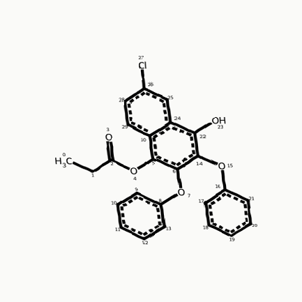 CCC(=O)Oc1c(Oc2ccccc2)c(Oc2ccccc2)c(O)c2cc(Cl)ccc12